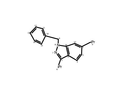 CC(C)c1ccc2c(C(C)C)nn(Cc3ccccc3)c2c1